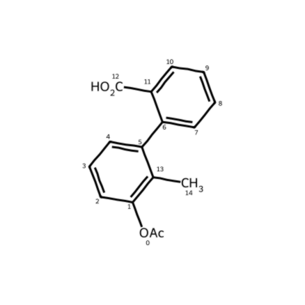 CC(=O)Oc1cccc(-c2ccccc2C(=O)O)c1C